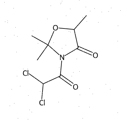 CC1OC(C)(C)N(C(=O)C(Cl)Cl)C1=O